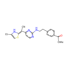 CCC1=CS/C(=C(/C#N)c2ccnc(NCCc3ccc(C(=O)OC)cc3)n2)N1